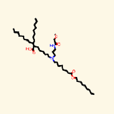 CCCCCCCCCOC(=O)CCCCCCCN(CCCCCCC(C(=O)O)C(CCCCCCCC)CCCCCCCC)CCCNC(=O)COC